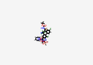 CC(C)(C)OC(=O)Nc1sc2c(F)ccc(-c3c(C(F)(F)F)cc4c(N5CC6CCC(C5)N6C(=O)OC(C)(C)C)nc(S(C)(=O)=O)nc4c3F)c2c1C#N